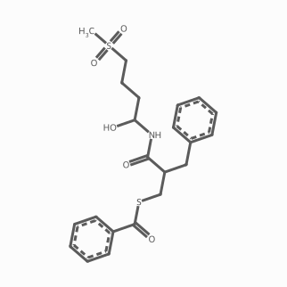 CS(=O)(=O)CCCC(O)NC(=O)C(CSC(=O)c1ccccc1)Cc1ccccc1